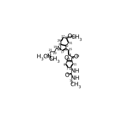 CCNC(=O)Nc1ccc2c(c1)C(=O)/C(=C/c1cn(CCCN(C)C)c3ccc(OC)cc13)O2